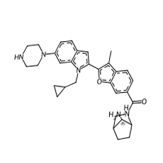 Cc1c(-c2cc3ccc(N4CCNCC4)cc3n2CC2CC2)oc2cc(C(=O)N3CC4CCC3[C@@H]4N)ccc12